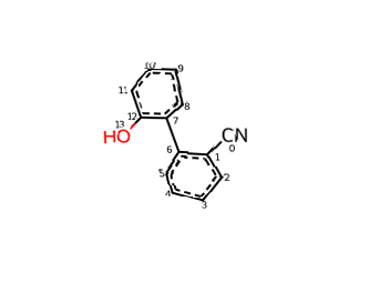 N#Cc1ccccc1-c1ccccc1O